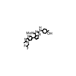 CNc1nc(NC2CCC(C)(O)CC2)nn2ccc(-c3cnc4nc(C)n(CC(F)F)c4c3)c12